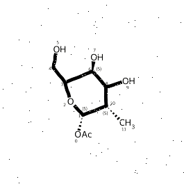 CC(=O)O[C@@H]1OC(CO)[C@@H](O)C(O)[C@@H]1C